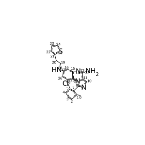 Cc1cccc(Cl)c1-c1ncc2c(N)nc3cc(NCCc4cccs4)ccc3n12